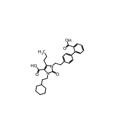 CCCc1c(C(=O)O)n(CCC2CCCCC2)c(=O)n1CCc1ccc(-c2ccccc2C(=O)O)cc1